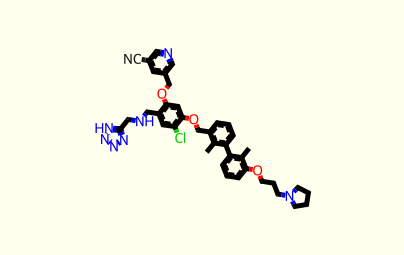 Cc1c(COc2cc(OCc3cncc(C#N)c3)c(CNCc3nnn[nH]3)cc2Cl)cccc1-c1cccc(OCCCN2CCCC2)c1C